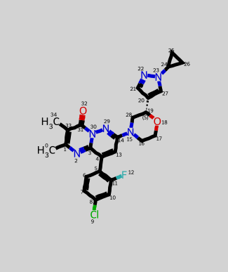 Cc1nc2c(-c3ccc(Cl)cc3F)cc(N3CCO[C@@H](c4cnn(C5CC5)c4)C3)nn2c(=O)c1C